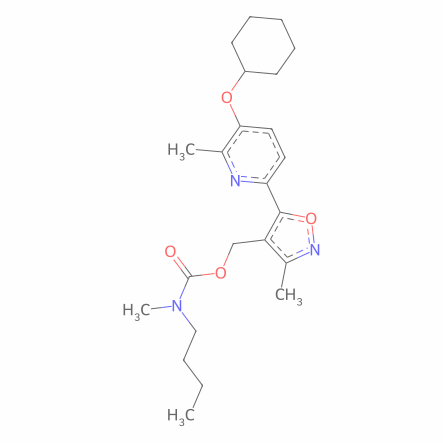 CCCCN(C)C(=O)OCc1c(C)noc1-c1ccc(OC2CCCCC2)c(C)n1